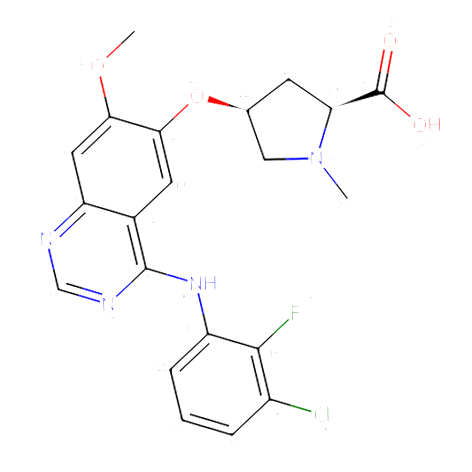 COc1cc2ncnc(Nc3cccc(Cl)c3F)c2cc1O[C@H]1C[C@@H](C(=O)O)N(C)C1